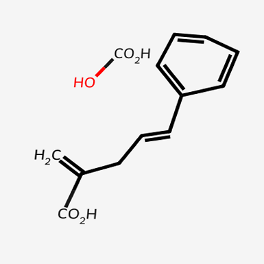 C=C(CC=Cc1ccccc1)C(=O)O.O=C(O)O